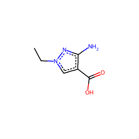 CCn1cc(C(=O)O)c(N)n1